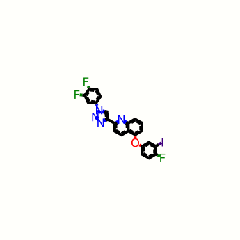 Fc1ccc(-n2cc(-c3ccc4c(Oc5ccc(F)c(I)c5)cccc4n3)nn2)cc1F